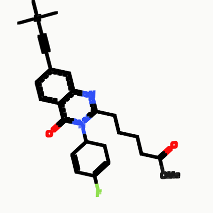 COC(=O)CCCCc1nc2cc(C#C[Si](C)(C)C)ccc2c(=O)n1C1C=CC(F)=CC1